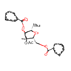 CC(=O)O[C@]1(C)[C@@H](COC(=O)c2ccccc2)O[C@@H](C(C)(C)C)[C@@H]1OC(=O)c1ccccc1